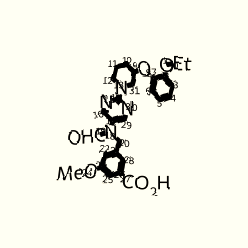 CCOc1ccccc1OC1CCCN(c2ncc(N(C=O)Cc3cc(OC)cc(C(=O)O)c3)cn2)C1